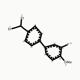 CCC(CC)c1ccc(-c2ccc(OC)c(F)c2)cc1